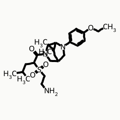 CCOc1ccc(N2CC3CN(C(=O)C(CC(C)C)S(=O)(=O)CCN)CC2C(C)(C)C3)cc1